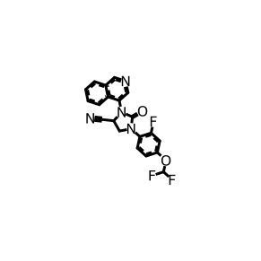 N#CC1CN(c2ccc(OC(F)F)cc2F)C(=O)N1c1cncc2ccccc12